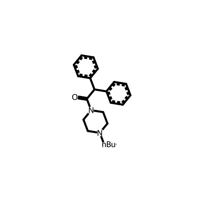 CCC[CH]N1CCN(C(=O)C(c2ccccc2)c2ccccc2)CC1